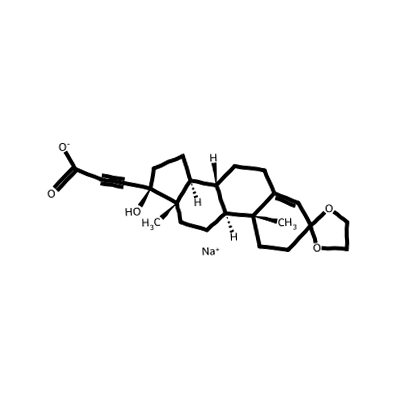 C[C@]12CCC3(C=C1CC[C@@H]1[C@@H]2CC[C@@]2(C)[C@H]1CC[C@@]2(O)C#CC(=O)[O-])OCCO3.[Na+]